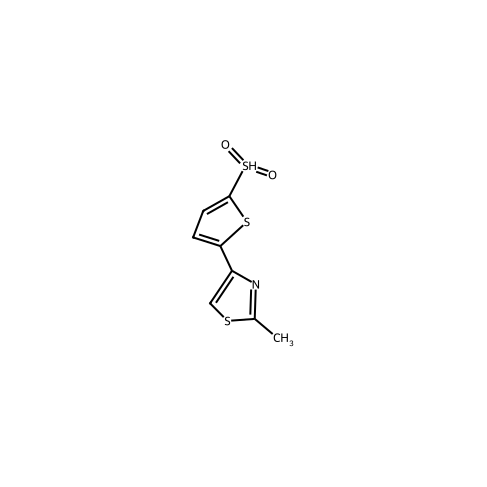 Cc1nc(-c2ccc([SH](=O)=O)s2)cs1